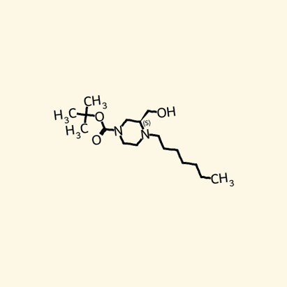 CCCCCCCN1CCN(C(=O)OC(C)(C)C)C[C@H]1CO